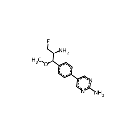 CO[C@H](c1ccc(-c2cnc(N)nc2)cc1)[C@H](N)CF